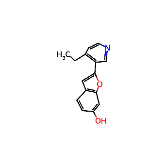 CCc1ccncc1-c1cc2ccc(O)cc2o1